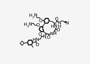 Cc1cc(C2CCC2)ccc1C(=O)NCC(=O)N(C)[C@@H]1C(=O)N[C@@H](C)C(=O)N[C@H](C(=O)NCC#N)Cc2ccc(OCCN)c(c2)-c2cc1ccc2OCCN